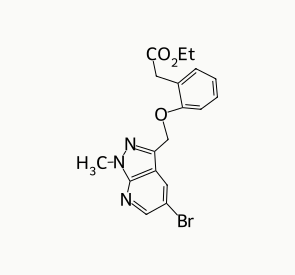 CCOC(=O)Cc1ccccc1OCc1nn(C)c2ncc(Br)cc12